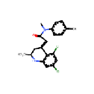 CN(C(=O)C=C1CC(C(=O)O)Nc2cc(Cl)cc(Cl)c21)c1ccc(C#N)cc1